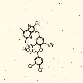 CCCc1cc(Cn2c(CC)nc3c(C)cc(C)nc32)cc(CCC)c1OC(C(=O)O)c1ccc(Cl)c(Cl)c1